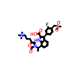 CC(c1cccc2c(-c3ccc(CS(C)(=O)=O)c(F)c3)c(C(=O)O)[nH]c12)n1cc(CCC[N+](C)(C)C)oc1=O